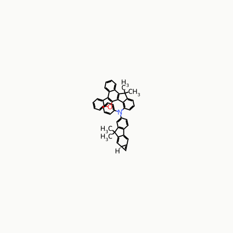 CC1(C)C2=C[C@@H]3C=C3C=C2c2ccc(N(c3ccccc3)c3cccc4c3-c3c(c5ccccc5c5c3oc3ccccc35)C4(C)C)cc21